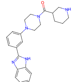 O=C(C1CCCNC1)N1CCN(c2cccc(-c3nc4ccccc4[nH]3)c2)CC1